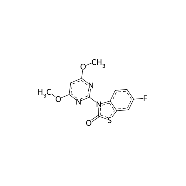 COc1cc(OC)nc(-n2c(=O)sc3cc(F)ccc32)n1